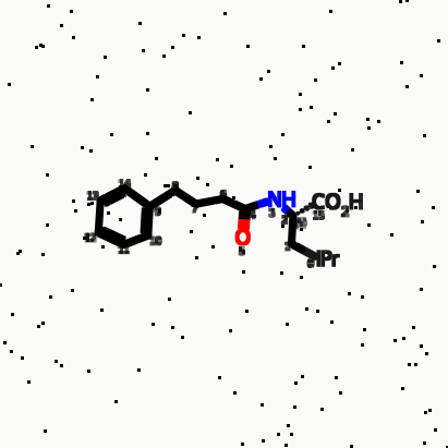 CC(C)C[C@H](NC(=O)CCCc1ccccc1)C(=O)O